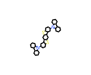 c1ccc2c(c1)c1ccccc1n2-c1ccc2sc3cc4c(cc3c2c1)sc1ccc(-n2c3ccccc3c3ccccc32)cc14